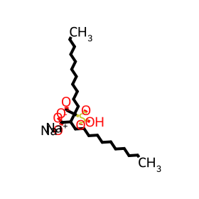 CCCCCCCCCCCC(C(=O)[O-])C(CCCCCCCCCCC)(C(=O)[O-])S(=O)(=O)O.[Na+].[Na+]